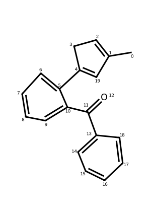 CC1=CCC(c2ccccc2C(=O)c2ccccc2)=C1